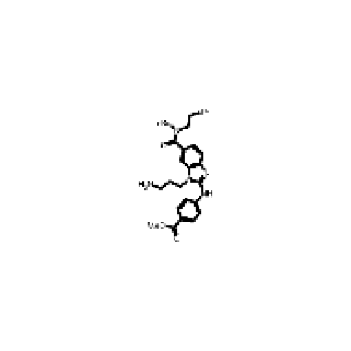 CCCCN(CCC(C)C)C(=O)c1ccc2nc(Nc3ccc(C(=O)OC)cc3)n(CCCN)c2c1